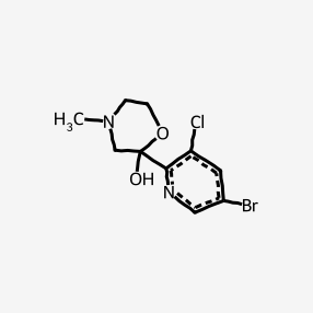 CN1CCOC(O)(c2ncc(Br)cc2Cl)C1